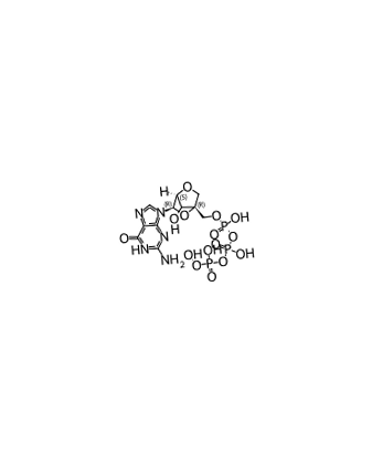 Nc1nc2c(ncn2[C@@H]2O[C@@]3(COP(=O)(O)OP(=O)(O)OP(=O)(O)OO)CO[C@H]2C3O)c(=O)[nH]1